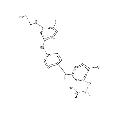 C[C@@H](O)[C@@H](C)Sc1nc(Nc2ccc(Nc3ncc(F)c(NCCO)n3)cc2)ncc1Br